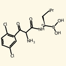 CC(C)C[C@H](NC(=O)C(N)C(=O)c1cc(Cl)ccc1Cl)B(O)O